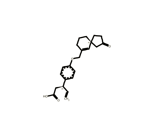 C=C[C@@H](CC(=O)O)c1ccc(OCC2=C[C@]3(CCC2)CCC(=O)C3)cc1